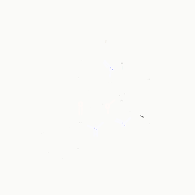 O=C(NC1=N[C@H](C(F)(F)F)C[C@@](c2nc(Br)ccc2F)(C(F)F)O1)c1ccccc1